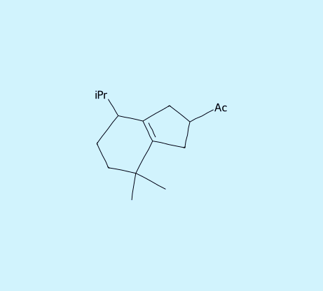 CC(=O)C1CC2=C(C1)C(C)(C)CCC2C(C)C